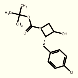 CC(C)(C)OC(=O)N1CC(O)[C@@H]1Cc1ccc(Cl)cc1